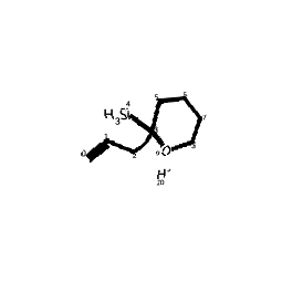 C=CCC1([SiH3])CCCCO1.[H+]